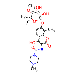 CO[C@@H]1[C@H](O)[C@@H](O)[C@H](Oc2ccc3c(O)c(NC(=O)N4CCN(C)CC4)c(=O)oc3c2C)OC1(C)C